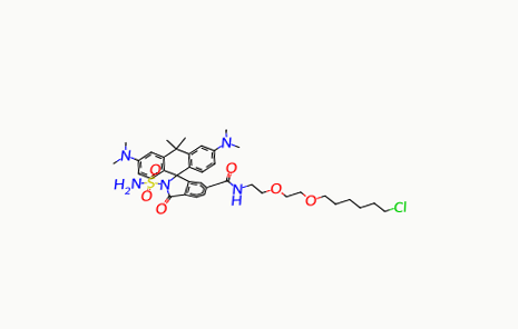 CN(C)c1ccc2c(c1)C(C)(C)c1cc(N(C)C)ccc1C21c2cc(C(=O)NCCOCCOCCCCCCCl)ccc2C(=O)N1S(N)(=O)=O